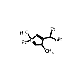 CCCC(CC)C1=CP(C)(CC)=CC1C